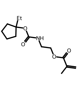 C=C(C)C(=O)OCCNC(=O)OC1(CC)CCCC1